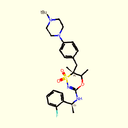 CC1OC(N[C@@H](C)c2ccccc2F)=NS(=O)(=O)[C@]1(C)Cc1ccc(N2CCN(C(C)(C)C)CC2)cc1